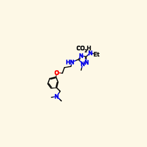 CCN(C(=O)O)c1nc(NCCCOc2cccc(CN(C)C)c2)n(C)n1